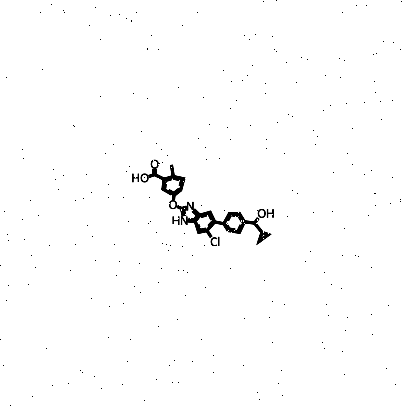 Cc1ccc(Oc2nc3cc(-c4ccc(C(O)C5CC5)cc4)c(Cl)cc3[nH]2)cc1C(=O)O